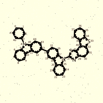 c1ccc(-n2c3ccccc3c3cc(-c4ccc5c(c4)c4ccccc4n5-c4nc5ccc6sc7ccccc7c6c5s4)ccc32)cc1